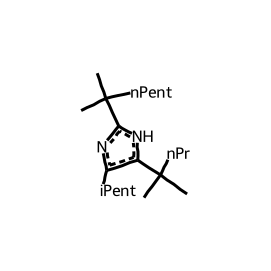 CCCCCC(C)(C)c1nc(C(C)CCC)c(C(C)(C)CCC)[nH]1